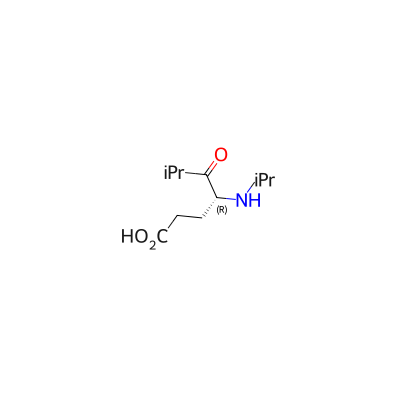 CC(C)N[C@H](CCC(=O)O)C(=O)C(C)C